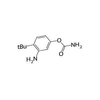 CC(C)(C)c1ccc(OC(N)=O)cc1N